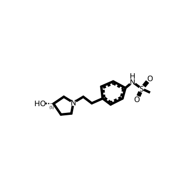 CS(=O)(=O)Nc1ccc(CCN2CC[C@H](O)C2)cc1